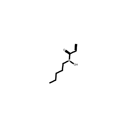 C=CC(=O)N(O)CCCCC